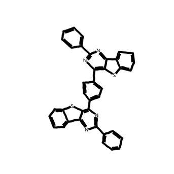 c1ccc(-c2nc(-c3ccc(-c4nc(-c5ccccc5)nc5c4sc4ccccc45)cc3)c3sc4ccccc4c3n2)cc1